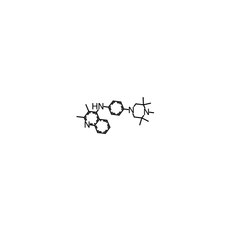 Cc1nc2ccccc2c(Nc2ccc(N3CC(C)(C)N(C)C(C)(C)C3)cc2)c1C